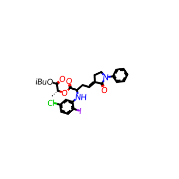 CC(C)COC(=O)[C@@H](C)OC(=O)C(CC=C1CCN(c2ccccc2)C1=O)Nc1cc(Cl)ccc1I